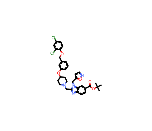 CC(C)(C)OC(=O)c1ccc2nc(CN3CCC(Oc4cccc(COc5ccc(Cl)cc5Cl)c4)CC3)n(Cc3ccno3)c2c1